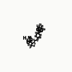 CC(C)(C)C(CC=Cc1ccc(B2OC(C)(C)C(C)(C)O2)cc1)C(=O)ON